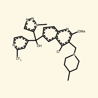 COc1nc2ccc(C(O)(c3ccnc(C(F)(F)F)c3)c3cnnn3C)cc2c(Cl)c1CN1CCC(C)CC1